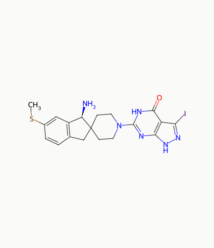 CSc1ccc2c(c1)[C@@H](N)C1(CCN(c3nc4[nH]nc(I)c4c(=O)[nH]3)CC1)C2